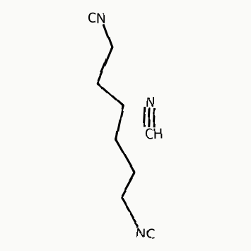 C#N.[C-]#[N+]CCCCCC[N+]#[C-]